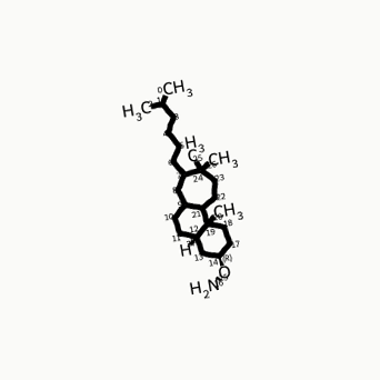 CC(C)CCCCC1CC2CC[C@H]3C[C@H](ON)CCC3(C)C2CCC1(C)C